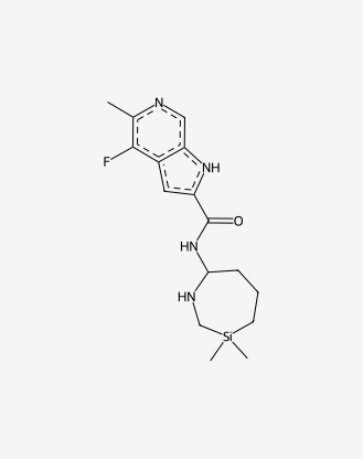 Cc1ncc2[nH]c(C(=O)NC3CCC[Si](C)(C)CN3)cc2c1F